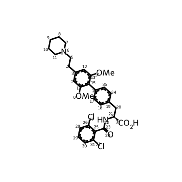 COc1cc(CCN2CCCCC2)cc(OC)c1-c1ccc(C[C@H](NC(=O)c2c(Cl)cccc2Cl)C(=O)O)cc1